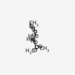 CCN1CCN(c2ccc(C(=O)Nc3cc(OCc4cc(OC)cc(OC)c4)n[nH]3)s2)CC1